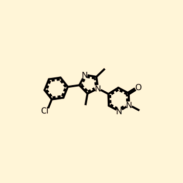 Cc1nc(-c2cccc(Cl)c2)c(C)n1-c1cnn(C)c(=O)c1